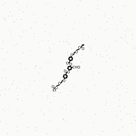 C=CC(=O)OCCOCCOc1ccc(C(=O)Oc2ccc(OC(=O)c3ccc(OCCOCCOC(=O)CC)cc3)cc2C=O)cc1